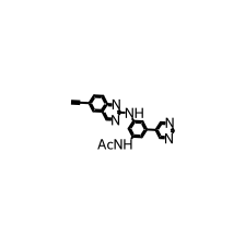 C#Cc1ccc2nc(Nc3cc(NC(C)=O)cc(-c4cncnc4)c3)ncc2c1